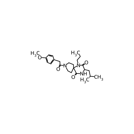 CCCN1C(=O)C(CC(C)C)NC(=O)C12CCN(C(=O)Cc1ccc(OC)cc1)CC2